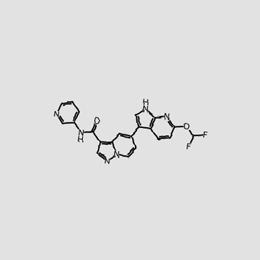 O=C(Nc1cccnc1)c1cnn2ccc(-c3c[nH]c4nc(OC(F)F)ccc34)cc12